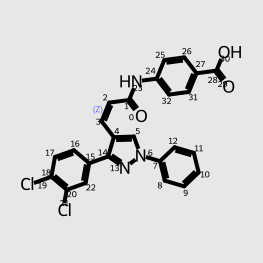 O=C(/C=C\c1cn(-c2ccccc2)nc1-c1ccc(Cl)c(Cl)c1)Nc1ccc(C(=O)O)cc1